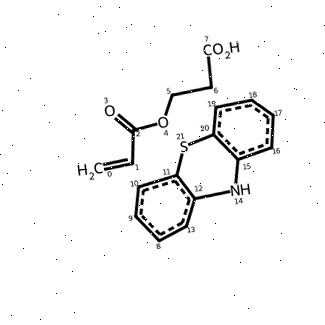 C=CC(=O)OCCC(=O)O.c1ccc2c(c1)Nc1ccccc1S2